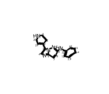 C1=CC(c2cnc3ccc(Nc4ccccc4)nn23)=CCN1